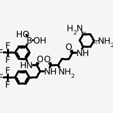 NC(CCC(=O)NC1C[C@@H](N)C[C@@H](N)C1)C(=O)NC(Cc1ccc(C(F)(F)F)cc1)C(=O)Nc1cc(B(O)O)cc(C(F)(F)F)c1